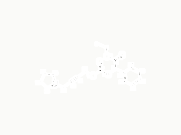 CCOC(=O)C(OC(=O)OCC#CCN1CCCC1)c1ccccc1